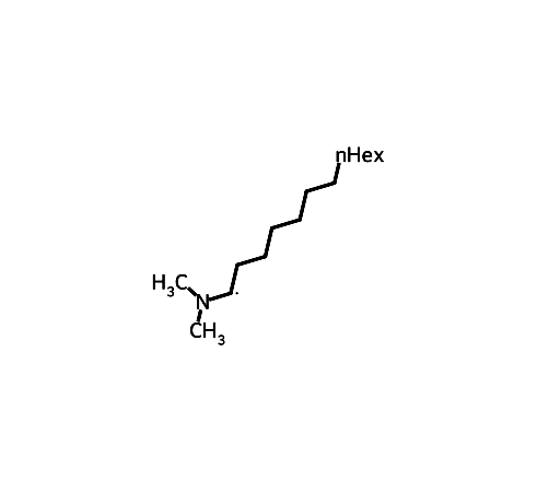 CCCCCCCCCCCC[CH]N(C)C